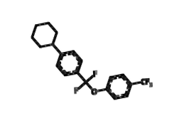 FC(F)(F)c1ccc(OC(F)(F)c2ccc(C3CCCCC3)cc2)cc1